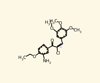 CCOc1ccc(C(=O)/C(Cl)=C\c2cc(OC)c(OC)c(OC)c2)cc1N